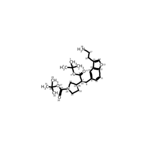 CC(C)(C)OC(=O)[C@@H](Cc1ccc2occ(CCN)c2c1)[C@H]1CCN(C(=O)OC(C)(C)C)C1